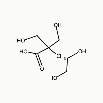 CC(CO)(CO)C(=O)O.OCCO